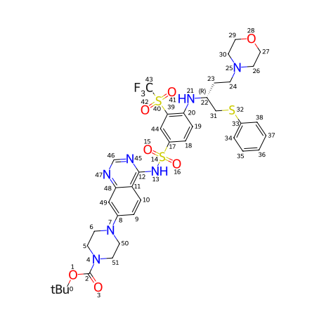 CC(C)(C)OC(=O)N1CCN(c2ccc3c(NS(=O)(=O)c4ccc(N[C@H](CCN5CCOCC5)CSc5ccccc5)c(S(=O)(=O)C(F)(F)F)c4)ncnc3c2)CC1